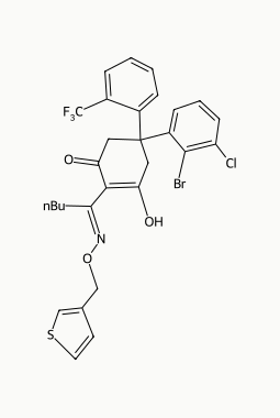 CCCCC(=NOCc1ccsc1)C1=C(O)CC(c2ccccc2C(F)(F)F)(c2cccc(Cl)c2Br)CC1=O